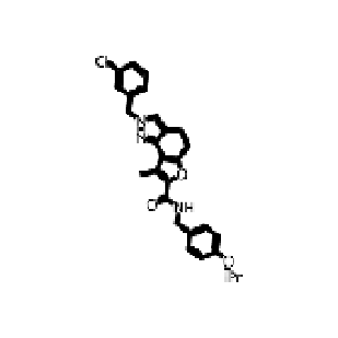 Cc1c(C(=O)NCc2ccc(OC(C)C)cc2)oc2c1-c1nn(Cc3cccc(Cl)c3)cc1CC2